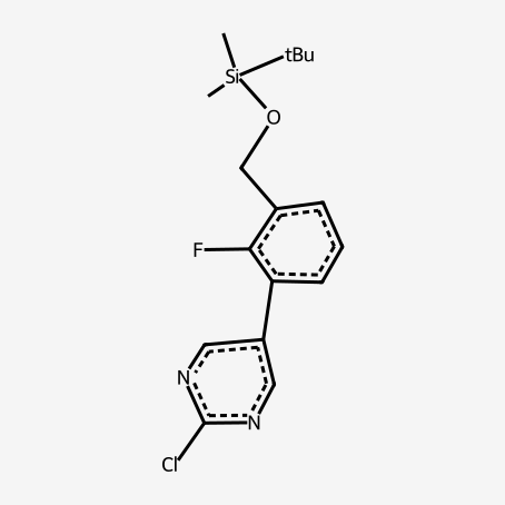 CC(C)(C)[Si](C)(C)OCc1cccc(-c2cnc(Cl)nc2)c1F